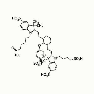 CC(C)(C)C(=O)CCCCC[N+]1=C(/C=C/C2=C(Oc3ccc(S(=O)(=O)O)cc3)C(=C/C=C3/N(CCCCS(=O)(=O)O)c4ccc(S(=O)(=O)O)cc4C3(C)C)/CCC2)C(C)(C)c2cc(S(=O)(=O)O)ccc21